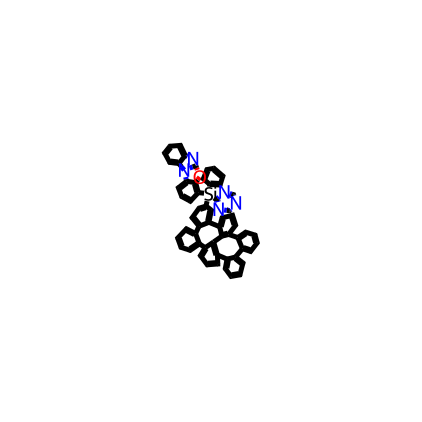 c1ccc([Si](c2ccc3c(c2)c2cccc4c2-c2c(cccc2c2ccccc23)c2ccccc2c2ccccc42)(c2ncncn2)c2cccc3c2oc2nc4ccccc4n23)cc1